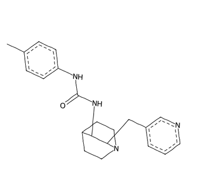 Cc1ccc(NC(=O)NC2C3CCN(CC3)C2Cc2cccnc2)cc1